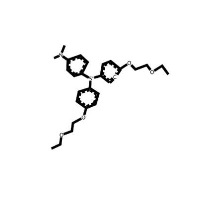 CCOCCOc1ccc([S+](c2ccc(OCCOCC)cc2)c2ccc(N(C)C)cc2)cc1